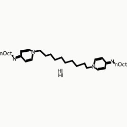 CCCCCCCCN=c1ccn(CCCCCCCCCCn2ccc(=NCCCCCCCC)cc2)cc1.I.I